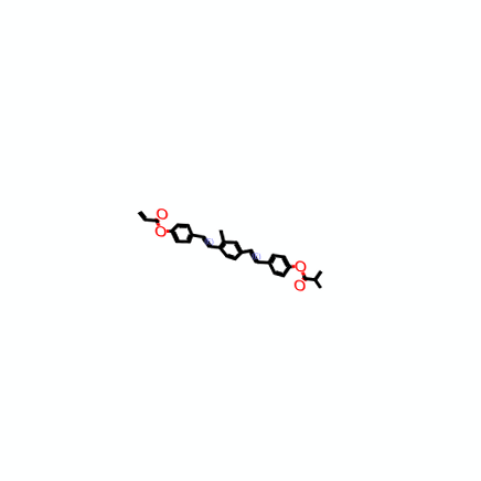 C=CC(=O)Oc1ccc(/C=C/c2ccc(/C=C/c3ccc(OC(=O)C(C)C)cc3)cc2C)cc1